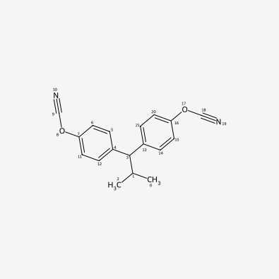 CC(C)C(c1ccc(OC#N)cc1)c1ccc(OC#N)cc1